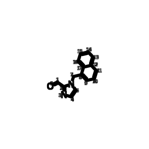 O=Cc1nccn1Cc1cccc2ccccc12